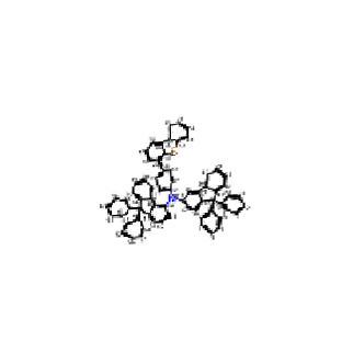 c1ccc(C2(c3ccccc3)c3ccccc3-c3cc(N(c4ccc(-c5cccc6c5sc5ccccc56)cc4)c4cccc5c4-c4ccccc4C5(c4ccccc4)c4ccccc4)ccc32)cc1